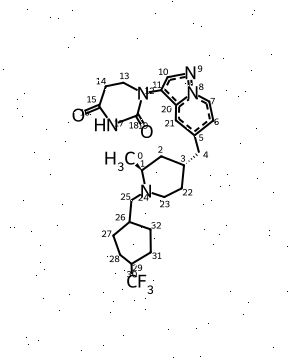 C[C@H]1C[C@H](Cc2ccn3ncc(N4CCC(=O)NC4=O)c3c2)CCN1CC1CCC(C(F)(F)F)CC1